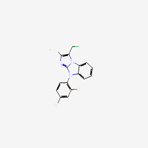 CC(C)c1ccc(-n2c3ccccc3n3c(CCl)c(C(F)(F)F)nc23)c(Br)c1